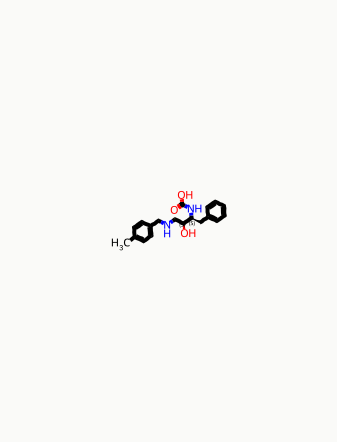 Cc1ccc(CNC[C@H](O)[C@H](Cc2ccccc2)NC(=O)O)cc1